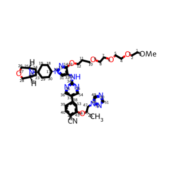 COCCOCCOCCOCCCOc1nn([C@H]2CC[C@H](N3[C@@H]4CC[C@H]3COC4)CC2)cc1Nc1ncc(-c2ccc(C#N)c(O[C@@H](C)Cn3cncn3)c2)cn1